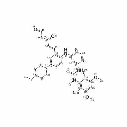 CCN1CCN(c2ccc(Nc3cc(NC(=O)N(C)c4c(Cl)c(OC)cc(OC)c4Cl)ncn3)c(C=CC(=O)NC=O)c2)CC1